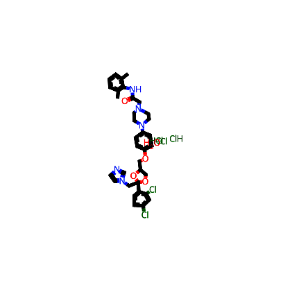 Cc1cccc(C)c1NC(=O)CN1CCN(c2ccc(OCC3COC(Cn4ccnc4)(c4ccc(Cl)cc4Cl)O3)cc2)CC1.Cl.Cl.Cl.O